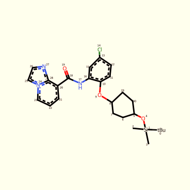 CC(C)(C)[Si](C)(C)OC1CCC(Oc2ccc(Cl)cc2NC(=O)c2cccn3ccnc23)CC1